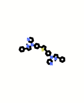 Cn1c(-c2ccccc2)ccc1N(c1ccc(-c2ccc(-c3ccc(N(c4cccnc4)c4ccc(-c5ccccc5)n4C)cc3)s2)cc1)c1cccnc1